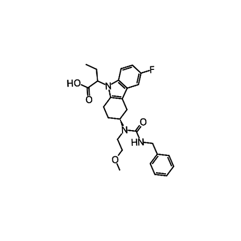 CCC(C(=O)O)n1c2c(c3cc(F)ccc31)C[C@@H](N(CCOC)C(=O)NCc1ccccc1)CC2